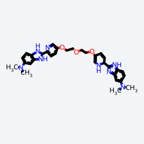 CN(C)c1ccc2c(c1)NC(c1ccc(OCCOCCOC3=CNC(c4nc5cc(N(C)C)ccc5[nH]4)C=C3)cn1)N2